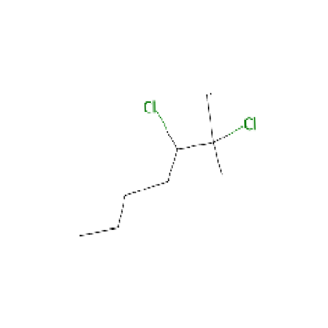 [CH2]C(C)(Cl)C(Cl)CCCC